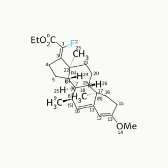 CCOC(=O)C(F)=C1CC[C@H]2[C@@H]3[C@H](C)C=C4C=C(OC)CC[C@]4(C)[C@H]3CC[C@]12C